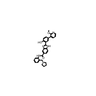 COc1ncccc1-c1ccc(O)c(-c2nc3cc(C(=O)Nc4ccccc4CN4CCCC4)ccc3[nH]2)c1